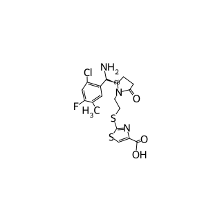 Cc1cc(C(N)[C@H]2CCC(=O)N2CCSc2nc(C(=O)O)cs2)c(Cl)cc1F